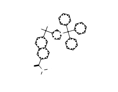 CCN(OC(C)=O)C(=O)c1ccc2cc(C(O)(c3cn(C(c4ccccc4)(c4ccccc4)c4ccccc4)cn3)C(C)C)ccc2c1